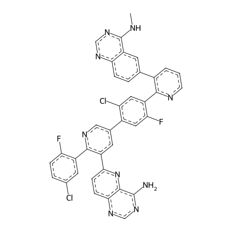 CNc1ncnc2ccc(-c3cccnc3-c3cc(Cl)c(-c4cnc(-c5cc(Cl)ccc5F)c(-c5ccc6ncnc(N)c6n5)c4)cc3F)cc12